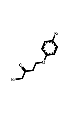 O=C(CBr)CCOc1ccc(Br)cc1